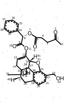 CC(=O)CCC(=O)O[C@H](C(=O)OC1=CC[C@@]2(O)[C@H]3Cc4ccc(CO)c5c4[C@@]2(CCN3C)[C@H]1O5)c1ccccc1